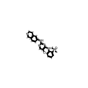 CP(C)(=O)c1ccccc1Nc1nc(Nc2ccc3c(c2)CCN=C3)ncc1Cl